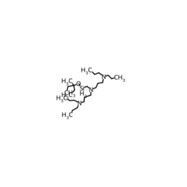 CCCN(CCC)CCCN(CCCN(CCC)CCC)C[SiH2]OC(C)(CC)CC